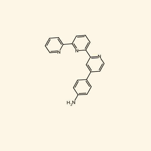 Nc1ccc(-c2ccnc(-c3cccc(-c4ccccn4)n3)c2)cc1